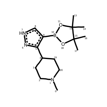 CN1CCC(c2n[nH]cc2B2OC(C)(C)C(C)(C)O2)CC1